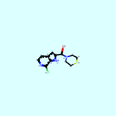 O=C(c1cc2ccnc(Cl)c2[nH]1)N1CCSCC1